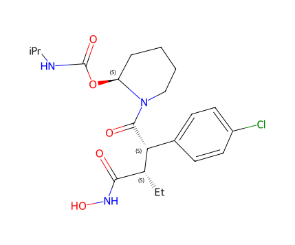 CC[C@H](C(=O)NO)[C@H](C(=O)N1CCCC[C@@H]1OC(=O)NC(C)C)c1ccc(Cl)cc1